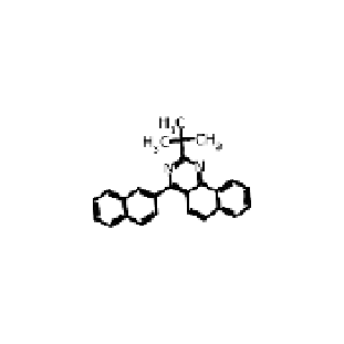 CC(C)(C)c1nc(-c2ccc3ccccc3c2)c2ccc3ccccc3c2n1